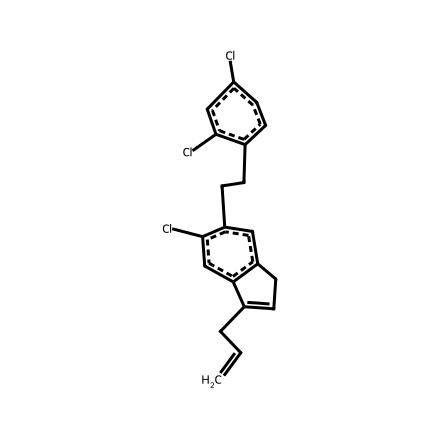 C=CCC1=CCc2cc(CCc3ccc(Cl)cc3Cl)c(Cl)cc21